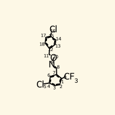 FC(F)(F)c1ccc(Cl)cc1/C=N/OCc1ccc(Cl)cc1